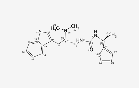 C[C@H](NC(=O)NC[C@H](Cc1csc2ccccc12)N(C)C)c1cccs1